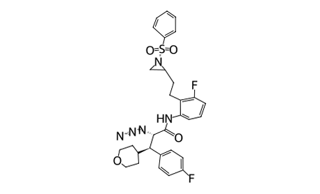 [N-]=[N+]=N[C@H](C(=O)Nc1cccc(F)c1CCC1C[N@]1S(=O)(=O)c1ccccc1)[C@@H](c1ccc(F)cc1)C1CCOCC1